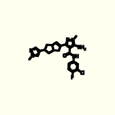 Cn1cc(C2CC3C=C(c4nn(C)c(N)c4C(=O)Nc4ccc(F)c(Cl)c4)CC3C2)cn1